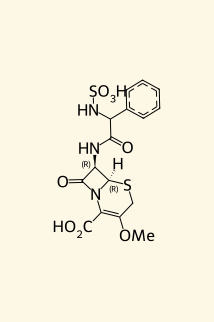 COC1=C(C(=O)O)N2C(=O)[C@@H](NC(=O)C(NS(=O)(=O)O)c3ccccc3)[C@H]2SC1